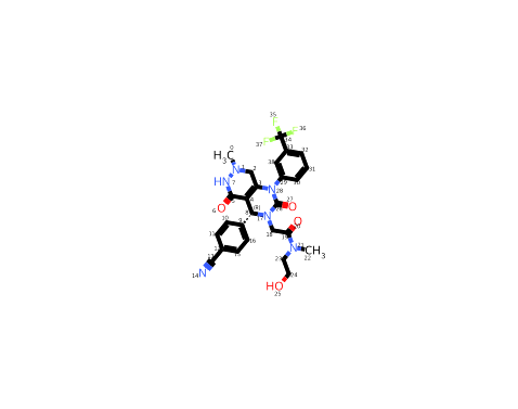 CN1CC2=C(C(=O)N1)[C@@H](c1ccc(C#N)cc1)N(CC(=O)N(C)CCO)C(=O)N2c1cccc(C(F)(F)F)c1